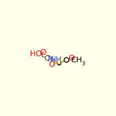 COc1ccc(-c2ccc([S+]([O-])NN3CCC(CC(=O)O)CC3)s2)cc1